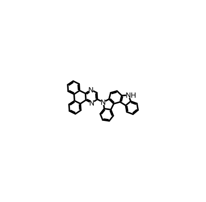 c1ccc2c(c1)[nH]c1ccc3c(c4ccccc4n3-c3cnc4c5ccccc5c5ccccc5c4n3)c12